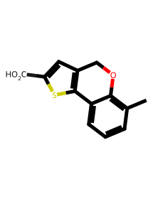 Cc1cccc2c1OCc1cc(C(=O)O)sc1-2